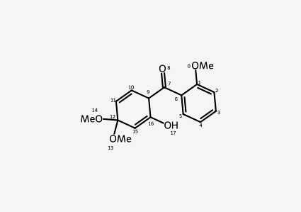 COc1ccccc1C(=O)C1C=CC(OC)(OC)C=C1O